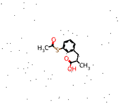 CC(=O)Sc1cccc(CC(C)C(=O)O)c1